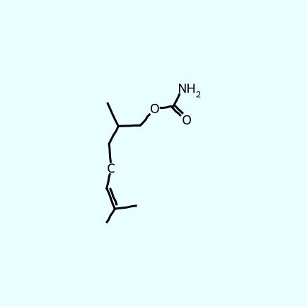 CC(C)=CCCC(C)COC(N)=O